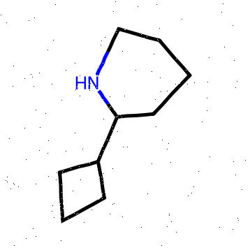 C1CCC(C2CCC2)NC1